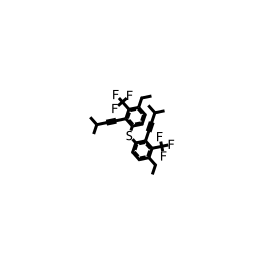 CCc1ccc(Sc2ccc(CC)c(C(F)(F)F)c2C#CC(C)C)c(C#CC(C)C)c1C(F)(F)F